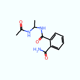 CC(=O)NC(C)NC(=O)c1ccccc1C(N)=O